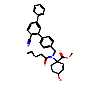 CCCCC(=O)N(Cc1ccc(-c2cc(-c3ccccc3)ccc2C#N)cc1)C1(C(=O)OC)CCC(O)CC1